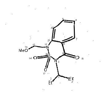 CCC(CC)N1C(=O)c2ccccc2N(COC)S1(=O)=O